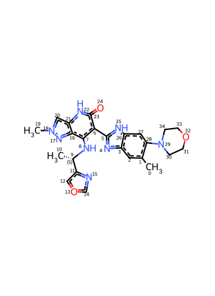 Cc1cc2nc(-c3c(N[C@@H](C)c4cocn4)c4nn(C)cc4[nH]c3=O)[nH]c2cc1N1CCOCC1